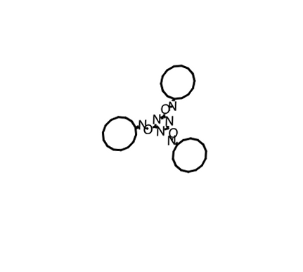 C1CCCCCCC(=NOc2nc(ON=C3CCCCCCCCCCCCC3)nc(ON=C3CCCCCCCCCCCCC3)n2)CCCCCC1